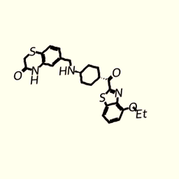 CCOc1cccc2sc(C(=O)[C@H]3CC[C@H](NCc4ccc5c(c4)NC(=O)CS5)CC3)nc12